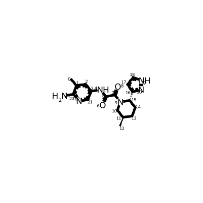 Cc1cc(NC(=O)C(=O)N2C[C@H](C)CC[C@H]2c2cc[nH]n2)cnc1N